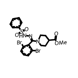 COC(=O)C1CCN(/C(=N/NS(=O)(=O)c2ccccc2)c2c(Br)cccc2Br)CC1